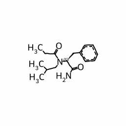 CCC(=O)N(CC(C)C)[C@@H](Cc1ccccc1)C(N)=O